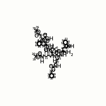 CC[C@@H](C)[C@@H](NC(=O)[C@H](CCCCNC(=O)OC(C)(C)C)NC(=O)[C@@H](CCCCNC(=O)OCc1ccccc1)NC(=O)[C@@H](N)Cc1c[nH]c2ccccc12)C(=O)N[C@@H](Cc1ccccc1)C(=O)N[C@H](CCC(=O)OC(C)(C)C)C(=O)O